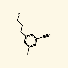 N#Cc1cc(Br)cc(CCCCl)c1